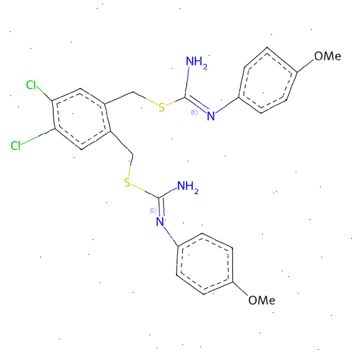 COc1ccc(/N=C(\N)SCc2cc(Cl)c(Cl)cc2CS/C(N)=N/c2ccc(OC)cc2)cc1